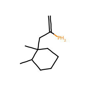 C=C(P)CC1(C)CCCCC1C